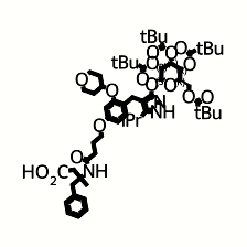 CC(C)c1[nH]nc(O[C@@H]2O[C@H](COC(=O)C(C)(C)C)[C@@H](OC(=O)C(C)(C)C)[C@H](OC(=O)C(C)(C)C)[C@H]2OC(=O)C(C)(C)C)c1Cc1ccc(OCCCC(=O)NC(C)(CC(=O)O)Cc2ccccc2)cc1OC1CCOCC1